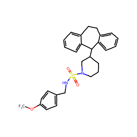 O=S(=O)(NCc1ccc(OC(F)(F)F)cc1)N1CCCC(C2c3ccccc3CCc3ccccc32)C1